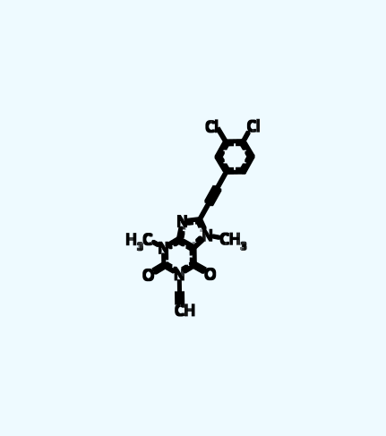 C#Cn1c(=O)c2c(nc(C#Cc3ccc(Cl)c(Cl)c3)n2C)n(C)c1=O